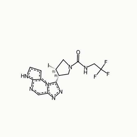 O=C(NCC(F)(F)F)N1C[C@@H](I)[C@@H](c2nnc3cnc4[nH]ccc4n23)C1